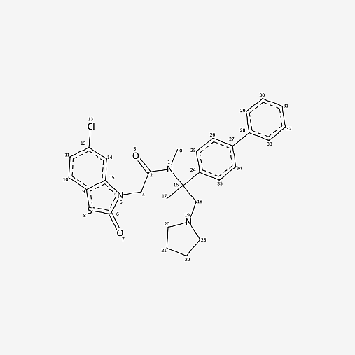 CN(C(=O)Cn1c(=O)sc2ccc(Cl)cc21)C(C)(CN1CCCC1)c1ccc(-c2ccccc2)cc1